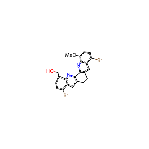 COc1ccc(Br)c2cc3c(nc12)-c1nc2c(CO)ccc(Br)c2cc1CC3